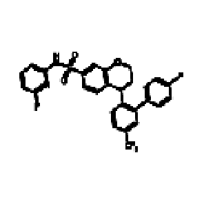 O=S(=O)(Nc1cccc(F)n1)c1ccc2c(c1)OCCC2c1ccc(C(F)(F)F)cc1-c1ccc(F)cc1